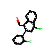 O=Cc1c(-c2ccccc2Cl)cc(Cl)c2ccccc12